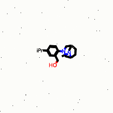 CC(C)c1ccc(N2CC3CCC(C2)N(C)C3)c(CO)c1